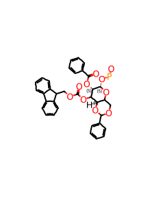 O=PO[C@@H]1OC2COC(c3ccccc3)O[C@H]2C(OC(=O)OCC2c3ccccc3-c3ccccc32)[C@@H]1OC(=O)c1ccccc1